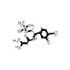 CC(C)=CC(=O)N[C@H](CO[Si](C)(C)C(C)(C)C)c1ccc(Cl)c(F)c1